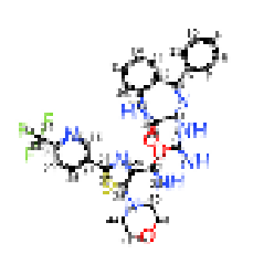 N=C(NC1N=C(c2ccccc2)c2ccccc2NC1=O)OC(=N)c1nc(-c2ccc(C(F)(F)F)nc2)sc1N1CCOCC1